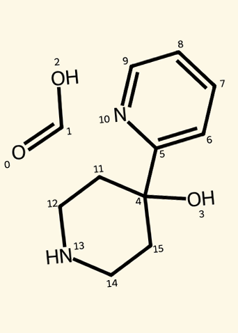 O=CO.OC1(c2ccccn2)CCNCC1